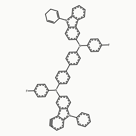 Fc1ccc(N(c2ccc(-c3ccc(N(c4ccc(F)cc4)c4ccc5c(c4)c4c#cccc4n5-c4ccccc4)cc3)cc2)c2ccc3c(c2)c2ccccc2n3C2=CCCC=C2)cc1